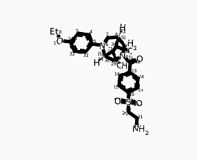 CCOc1ccc(N2C[C@H]3CN(C(=O)c4ccc(S(=O)(=O)CCN)cc4)C[C@@H]2C(C)C3C)cc1